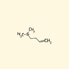 C=CCC[Si](C)C